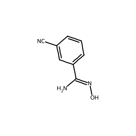 N#Cc1cccc(/C(N)=N/O)c1